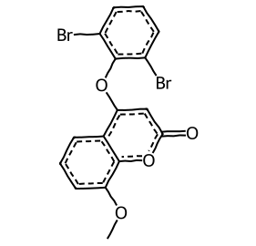 COc1cccc2c(Oc3c(Br)cccc3Br)cc(=O)oc12